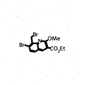 CCOC(=O)c1cc2ccc(Br)c(CBr)c2nc1OC